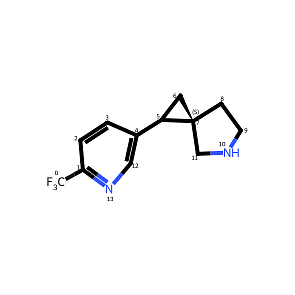 FC(F)(F)c1ccc(C2C[C@]23CCNC3)cn1